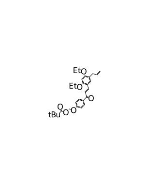 C=CCc1cc(C=CC(=O)c2ccc(OCOC(=O)C(C)(C)C)cc2)c(OCC)cc1OCC